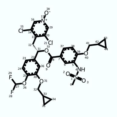 CS(=O)(=O)Nc1cc(C(=O)O[C@@H](Cc2c(Cl)c[n+]([O-])cc2Cl)c2ccc(OC(F)F)c(OCC3CC3)c2)ccc1OCC1CC1